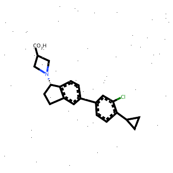 O=C(O)C1CN([C@H]2CCc3cc(-c4ccc(C5CC5)c(Cl)c4)ccc32)C1